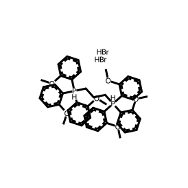 Br.Br.COc1ccccc1[PH](CCC[PH](c1ccccc1OC)(c1ccccc1OC)c1ccccc1OC)(c1ccccc1OC)c1ccccc1OC